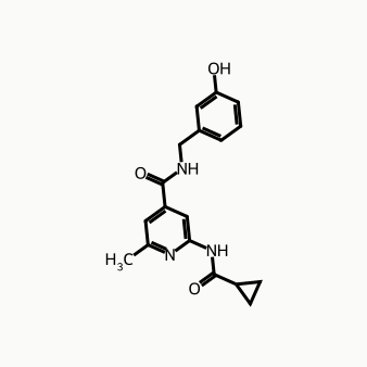 Cc1cc(C(=O)NCc2cccc(O)c2)cc(NC(=O)C2CC2)n1